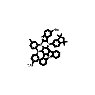 Cc1ccc2c(c1)B1c3sc4ccc(C(C)(C)C)cc4c3N(c3ccc4c(c3)C(C)(C)CC4(C)C)c3c1c(c1c4ccccc4n4c5ccccc5c3c14)N2c1ccc(C(C)(C)C)cc1